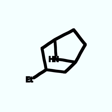 CCC1CC2CCC(C1)N2